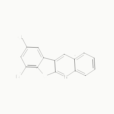 Clc1cc(Br)c2oc3nc4ccccc4cc3c2c1